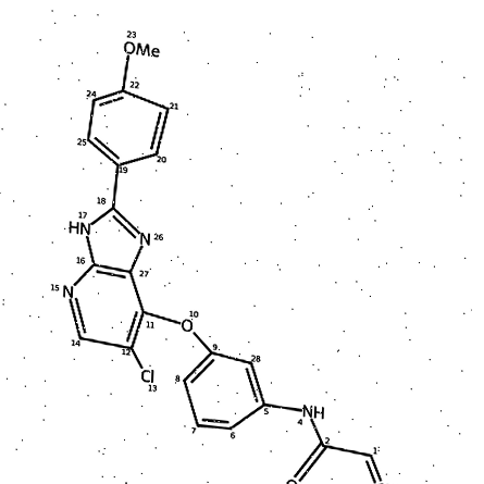 C=CC(=O)Nc1cccc(Oc2c(Cl)cnc3[nH]c(-c4ccc(OC)cc4)nc23)c1